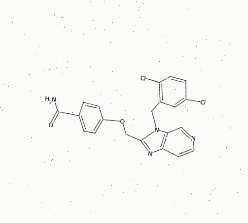 NC(=O)c1ccc(OCc2nc3ccncc3n2Cc2cc(Cl)ccc2Cl)cc1